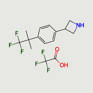 CC(C)(c1ccc(C2CNC2)cc1)C(F)(F)F.O=C(O)C(F)(F)F